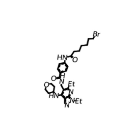 CCc1nc2c(cnn2CC)c(NC2CCOCC2)c1CNC(=O)c1ccc(NC(=O)CCCCCCBr)cc1